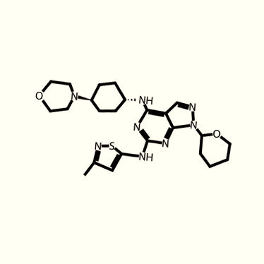 Cc1cc(Nc2nc(N[C@H]3CC[C@H](N4CCOCC4)CC3)c3cnn(C4CCCCO4)c3n2)sn1